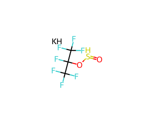 O=[SH]OC(F)(C(F)(F)F)C(F)(F)F.[KH]